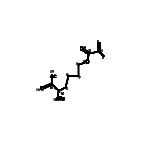 C=C(C)C(=O)OCCCCN(CCCC)C(=O)C(C)=O